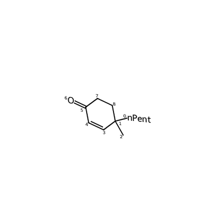 CCCCCC1(C)C=CC(=O)CC1